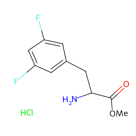 COC(=O)C(N)Cc1cc(F)cc(F)c1.Cl